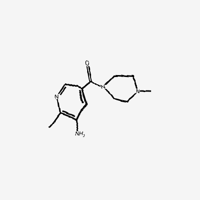 Cc1ncc(C(=O)N2CCN(C)CC2)cc1N